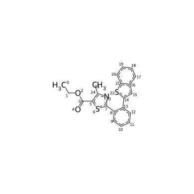 CCOC(=O)c1sc(-c2ccccc2-c2cc3ccccc3s2)nc1C